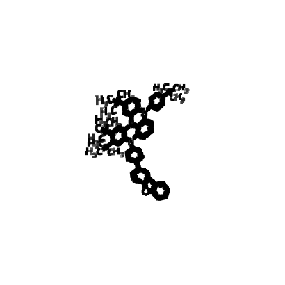 CC(C)(C)c1ccc(N2c3ccc(C(C)(C)C)cc3B3c4cc(C(C)(C)C)c(C(C)(C)C)cc4N(c4ccc(-c5ccc6oc7ccccc7c6c5)cc4)c4cccc2c43)cc1